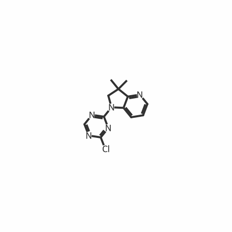 CC1(C)CN(c2ncnc(Cl)n2)c2cccnc21